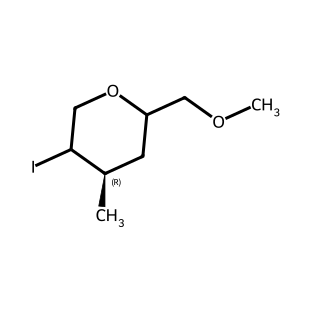 COCC1C[C@@H](C)C(I)CO1